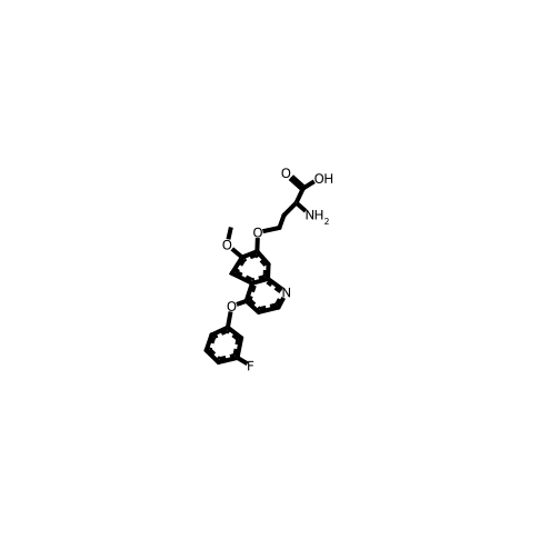 COc1cc2c(Oc3cccc(F)c3)ccnc2cc1OCCC(N)C(=O)O